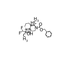 C[C@H]1[C@H]2CCC[C@@H]([C@@](C)(O)C(F)F)[C@@H]2CCN1C(=O)OCc1ccccc1